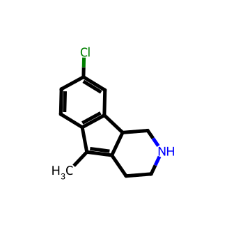 CC1=C2CCNCC2c2cc(Cl)ccc21